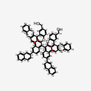 OCc1ccc(Oc2ccc3cc(-c4ccc5ccccc5c4)ccc3c2-c2c(Oc3ccc(CO)cc3-c3cccc4c3Sc3ccccc3S4)ccc3cc(-c4ccc5ccccc5c4)ccc23)c(-c2cccc3c2Sc2ccccc2S3)c1